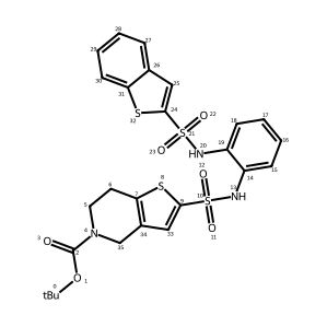 CC(C)(C)OC(=O)N1CCc2sc(S(=O)(=O)Nc3ccccc3NS(=O)(=O)c3cc4ccccc4s3)cc2C1